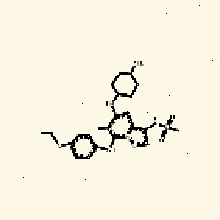 CCOc1ccc(Nc2c(C)c(NC3CCC(N)CC3)nc3c(NS(C)(=O)=O)cnn23)cc1